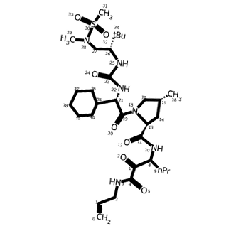 C=CCNC(=O)C(=O)C(CCC)NC(=O)[C@@H]1C[C@@H](C)CN1C(=O)[C@@H](NC(=O)N[C@H](CN(C)S(C)(=O)=O)C(C)(C)C)C1CCCCC1